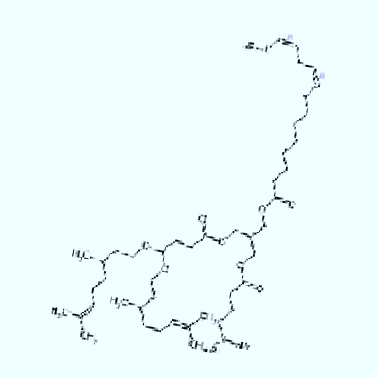 CCCCC/C=C\C/C=C\CCCCCCCC(=O)OCC(COC(=O)CCCN(CCC)CCC)COC(=O)CCC(OCCC(C)CCC=C(C)C)OCCC(C)CCC=C(C)C